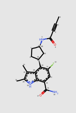 CC#CC(=O)N[C@@H]1CC[C@H](c2c(F)cc(C(N)=O)c3[nH]c(C)c(C)c23)C1